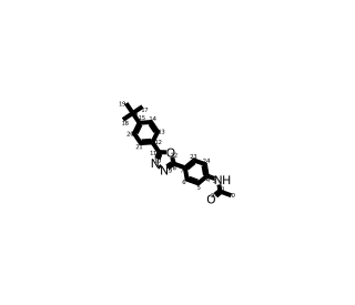 CC(=O)Nc1ccc(-c2nnc(-c3ccc(C(C)(C)C)cc3)o2)cc1